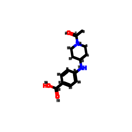 CC(=O)N1CCC(Nc2ccc(C(=O)O)cc2)CC1